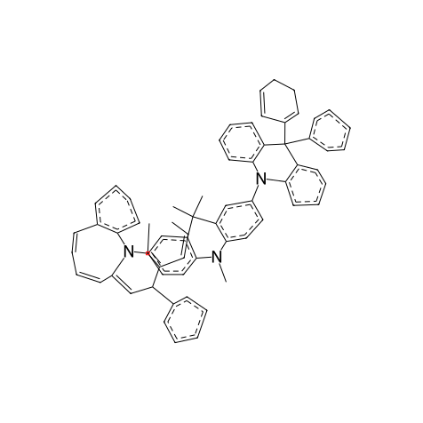 C/C=C\C(=C/C)C(/C=C1/C=C\C=C/c2ccccc2N1c1ccc2c(c1)C(C)(C)c1cc(N3c4ccccc4C(C4=CCCC=C4)(c4ccccc4)c4ccccc43)ccc1N2C)c1ccccc1